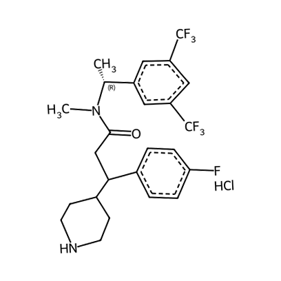 C[C@H](c1cc(C(F)(F)F)cc(C(F)(F)F)c1)N(C)C(=O)CC(c1ccc(F)cc1)C1CCNCC1.Cl